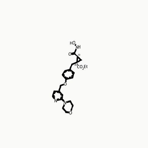 CCOC(=O)[C@@]1(Cc2ccc(OCc3ccnc(N4CCOCC4)c3)cc2)C[C@@H]1C(=O)NO